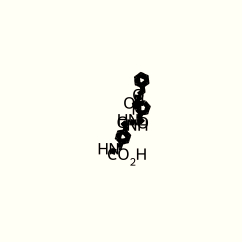 O=C(O)NCc1ccc(C(=O)NNC(=O)C2CCC3CN2C(=O)N3OCc2ccccc2)cc1